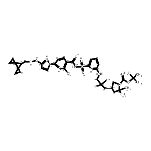 CC(C)(C)OC(=O)N1C[C@H](CC(F)(F)CNc2cccc(S(=O)(=O)NC(=O)c3ccc(-n4ccc(OCCC5C6(CC6)C56CC6)n4)nc3Cl)n2)CC1(C)C